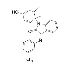 CC1C=C(O)C=CC1(C)N1C(=O)/C(=N\c2cccc(C(F)(F)F)c2)c2ccccc21